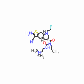 CCCN(C(=O)NCCN(C)C)C(=O)[C@@H]1C[C@@H]2Cc3c(sc(N)c3C#N)C[C@H]2N(CCF)C1